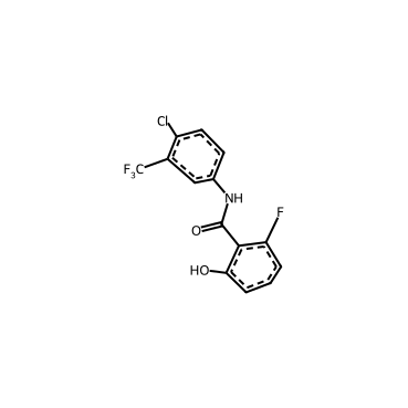 O=C(Nc1ccc(Cl)c(C(F)(F)F)c1)c1c(O)cccc1F